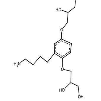 NCCCCc1cc(OCC(O)CO)ccc1OCC(O)CO